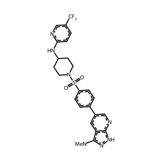 CNc1n[nH]c2ncc(-c3ccc(S(=O)(=O)N4CCC(Nc5ccc(C(F)(F)F)cn5)CC4)cc3)cc12